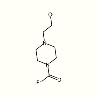 CC(C)C(=O)N1CCN(CC[O])CC1